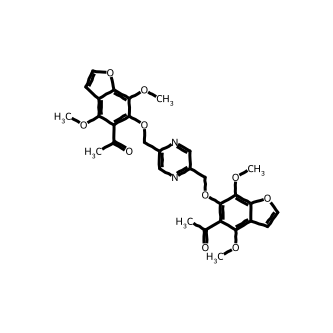 COc1c(C(C)=O)c(OCc2cnc(COc3c(C(C)=O)c(OC)c4ccoc4c3OC)cn2)c(OC)c2occc12